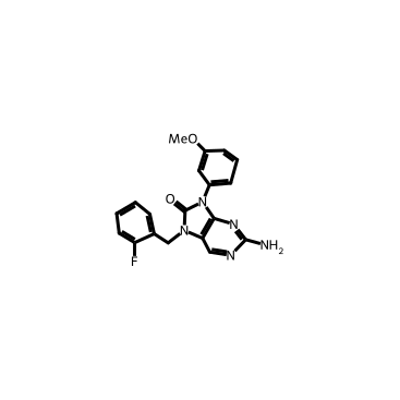 COc1cccc(-n2c(=O)n(Cc3ccccc3F)c3cnc(N)nc32)c1